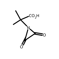 CC(C)(C(=O)O)n1c(=O)c1=O